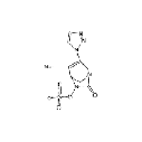 O=C1N2CC(n3ccnn3)=CC(C2)N1OS(=O)(=O)[O-].[Na+]